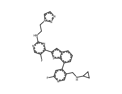 Fc1cc(-c2cccc3cc(-c4nc(NCCn5ccnn5)ncc4F)sc23)c(CNC2CC2)cn1